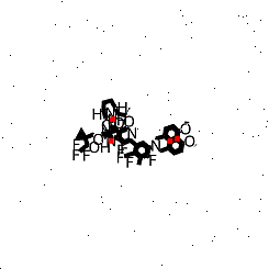 COc1ccc(CN(Cc2ccc(OC)cc2)c2cc(-c3nc4c5c(nc(OCC6(C(O)C(F)(F)F)CC6)nc5c3F)N3C[C@H]5CC[C@@H]([C@H]3[C@H](C)O4)N5C(=O)OC(C)(C)C)c(C(F)(F)F)c(C)c2F)cc1